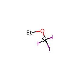 CCO[Si](I)(I)I